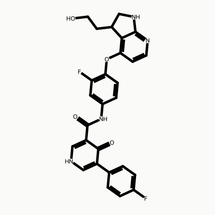 O=C(Nc1ccc(Oc2ccnc3c2C(CCO)CN3)c(F)c1)c1c[nH]cc(-c2ccc(F)cc2)c1=O